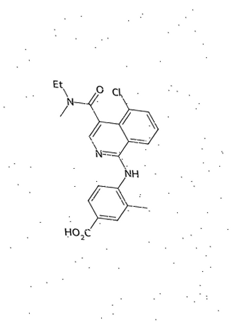 CCN(C)C(=O)c1cnc(Nc2ccc(C(=O)O)cc2C)c2cccc(Cl)c12